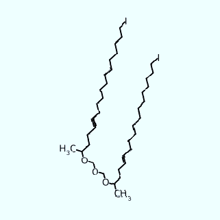 CC(CCC=CCCCCCCCCCCCCI)OCOCOC(C)CCC=CCCCCCCCCCCCCI